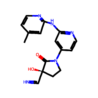 Cc1ccnc(Nc2cc(N3CC[C@](O)(C=N)C3=O)ccn2)c1